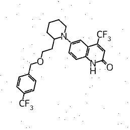 O=c1cc(C(F)(F)F)c2cc(N3CCCCC3CCOCc3ccc(C(F)(F)F)cc3)ccc2[nH]1